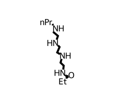 CCCNCCNCCNCCNC(=O)CC